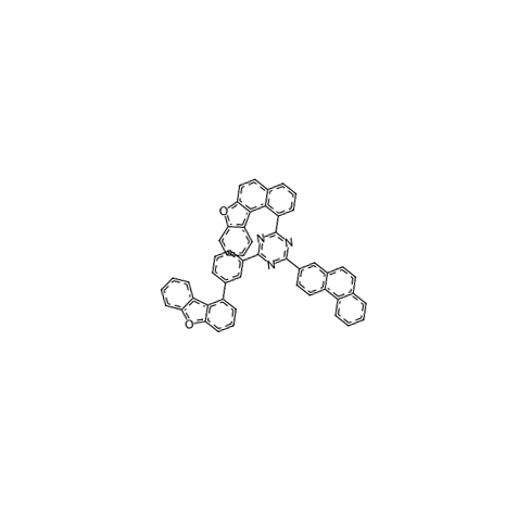 c1cc(-c2nc(-c3ccc4c(ccc5ccccc54)c3)nc(-c3cccc4ccc5oc6ccccc6c5c34)n2)cc(-c2cccc3oc4ccccc4c23)c1